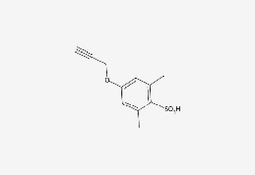 C#CCOc1cc(C)c(S(=O)(=O)O)c(C)c1